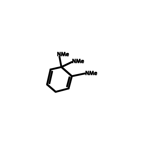 CNC1=CCC=CC1(NC)NC